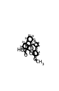 COc1ccc(-c2ccsc2C2(OC(C)[C@H](N)C(=O)O)c3ccccc3-c3ccccc32)cc1